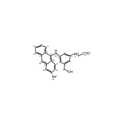 O=C([O-])CNc1cc(CO)cc(Nc2c3ccccc3nc3ccccc23)c1.[Na+]